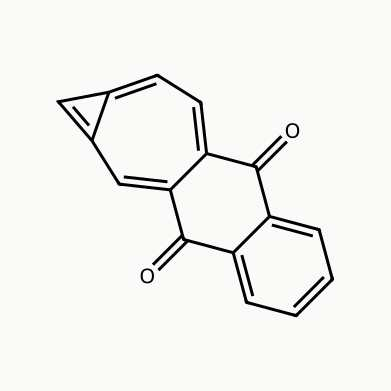 O=c1c2ccc3cc-3cc-2c(=O)c2ccccc12